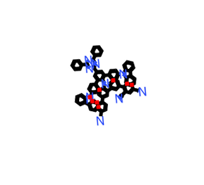 N#Cc1ccc(-c2ccc3c(c2)c2cc(-c4ccc(C#N)cc4C#N)ccc2n3-c2c(-c3ccc(-n4c5ccccc5c5ccccc54)cc3)cc(-c3nc(-c4ccccc4)nc(-c4ccccc4)n3)cc2-c2ccc(-n3c4ccccc4c4ccccc43)cc2)c(C#N)c1